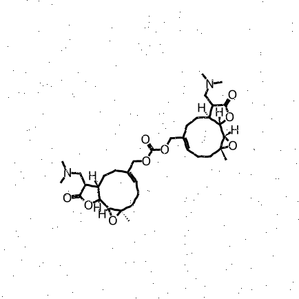 CN(C)CC1C(=O)O[C@H]2[C@H]1CC/C(COC(=O)OC/C1=C/CC[C@@]3(C)O[C@H]3[C@H]3OC(=O)C(CN(C)C)[C@@H]3CC1)=C\CC[C@@]1(C)O[C@@H]21